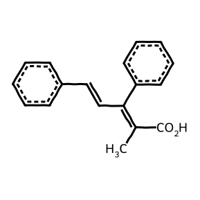 CC(C(=O)O)=C(C=Cc1ccccc1)c1ccccc1